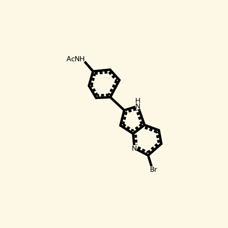 CC(=O)Nc1ccc(-c2cc3nc(Br)ccc3[nH]2)cc1